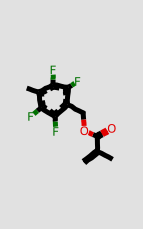 C=C(C)C(=O)OCc1c(F)c(F)c(C)c(F)c1F